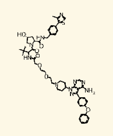 Cc1ncsc1-c1ccc(CNC(=O)[C@@H]2C[C@@H](O)CN2C(=O)C(NC(=O)COCCOCCN2CCC(n3nc(-c4ccc(Oc5ccccc5)cc4)c4c(N)ncnc43)CC2)C(C)(C)C)cc1